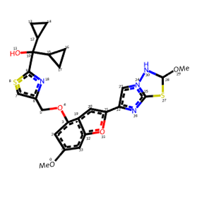 COc1cc(OCc2csc(C(O)(C3CC3)C3CC3)n2)c2cc(-c3cn4c(n3)SC(OC)N4)oc2c1